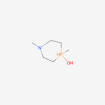 CN1CC[PH](C)(O)CC1